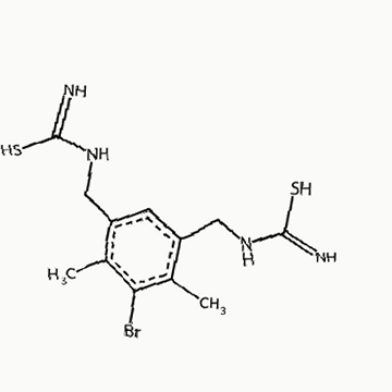 Cc1c(CNC(=N)S)cc(CNC(=N)S)c(C)c1Br